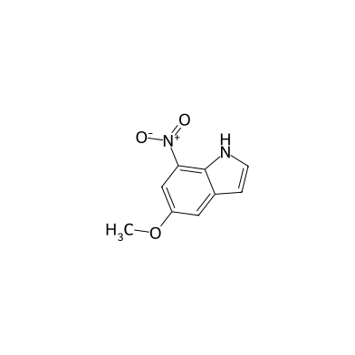 COc1cc([N+](=O)[O-])c2[nH]ccc2c1